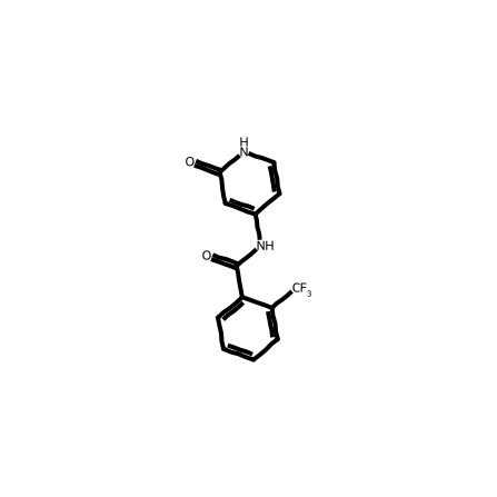 O=C(Nc1cc[nH]c(=O)c1)c1ccccc1C(F)(F)F